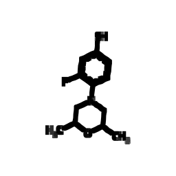 CC1CN(c2ccc(S)cc2F)CC(C)O1